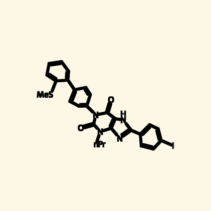 CCCn1c(=O)n(-c2ccc(-c3ccccc3SC)cc2)c(=O)c2[nH]c(-c3ccc(I)cc3)nc21